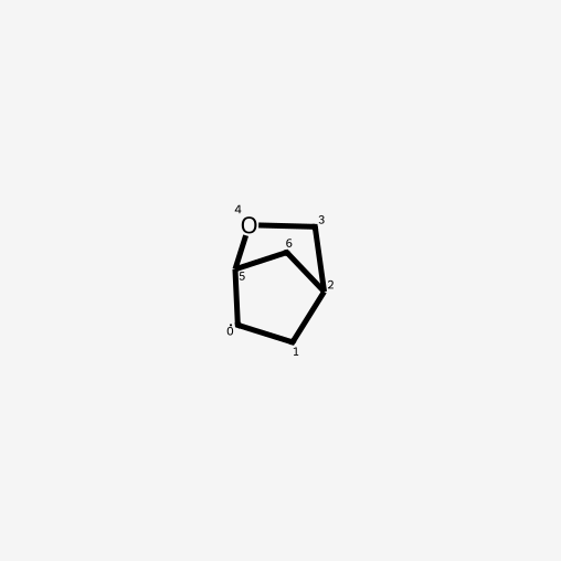 [CH]1CC2COC1C2